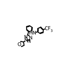 FC(F)(F)c1ccc(Nc2ccccc2-c2nnn(C3CCOC3)n2)cc1